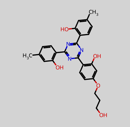 Cc1ccc(-c2nc(-c3ccc(C)cc3O)nc(-c3ccc(OCCCO)cc3O)n2)c(O)c1